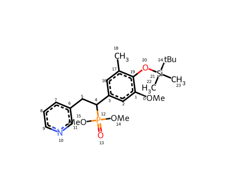 COc1cc(C(Cc2cccnc2)P(=O)(OC)OC)cc(C)c1O[Si](C)(C)C(C)(C)C